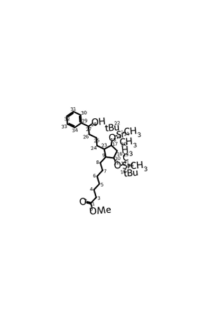 COC(=O)CCCCCCC1C(O[Si](C)(C)C(C)(C)C)CC(O[Si](C)(C)C(C)(C)C)C1CCCC(O)c1ccccc1